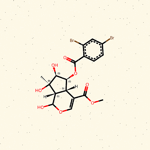 COC(=O)C1=COC(O)[C@H]2[C@@H]1[C@H](OC(=O)c1ccc(Br)cc1Br)[C@H](O)[C@]2(C)O